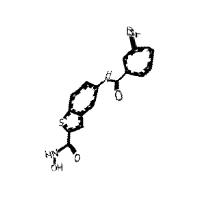 O=C(Nc1ccc2sc(C(=O)NO)cc2c1)c1cccc(Br)c1